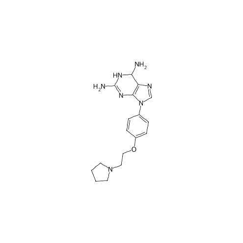 NC1=Nc2c(ncn2-c2ccc(OCCN3CCCC3)cc2)C(N)N1